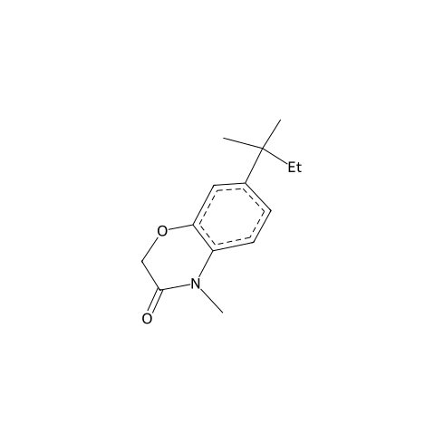 CCC(C)(C)c1ccc2c(c1)OCC(=O)N2C